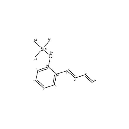 C=CC=Cc1ccccc1O[Si](C)(C)C